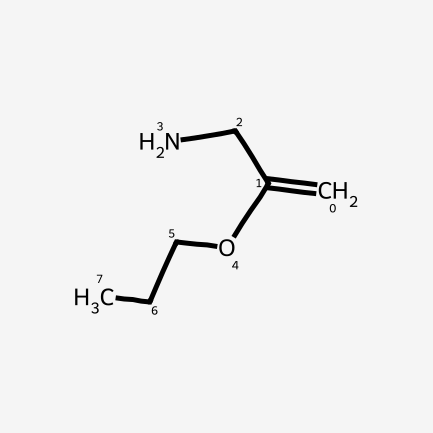 C=C(CN)OCCC